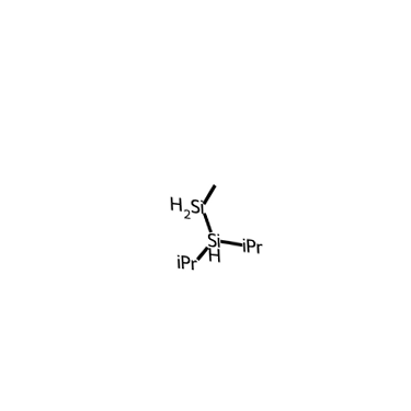 C[SiH2][SiH](C(C)C)C(C)C